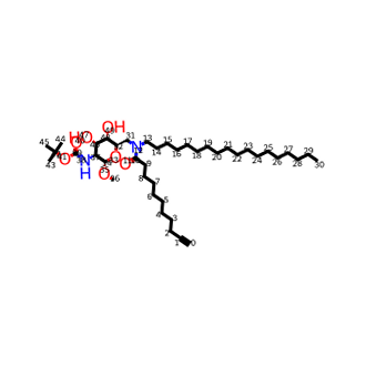 C#CCCCCCCCCC(=O)N(CCCCCCCCCCCCCCCCCC)C[C@H]1O[C@H](OC)[C@@H](NC(=O)OC(C)(C)C)[C@@H](O)[C@@H]1O